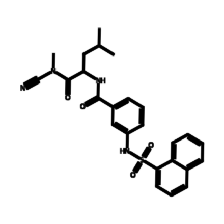 CC(C)CC(NC(=O)c1cccc(NS(=O)(=O)c2cccc3ccccc23)c1)C(=O)N(C)C#N